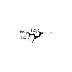 CCOC(=O)C(CC(C)CC(C(=O)OCC)C(=O)OCC)C(=O)OCC